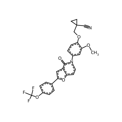 COc1cc(-n2ccc3oc(-c4ccc(OC(F)(F)F)cc4)cc3c2=O)ccc1OCC1(C#N)CC1